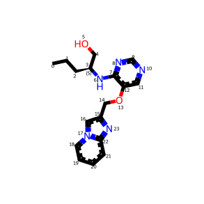 CCC[C@@H](CO)Nc1ncncc1OCc1cn2ccccc2n1